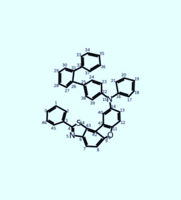 c1ccc(-c2nc3ccc4oc5ccc(N(c6ccccc6)c6ccc(-c7ccccc7-c7ccccc7)cc6)cc5c4c3s2)cc1